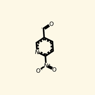 O=[C]c1ccc([N+](=O)[O-])nc1